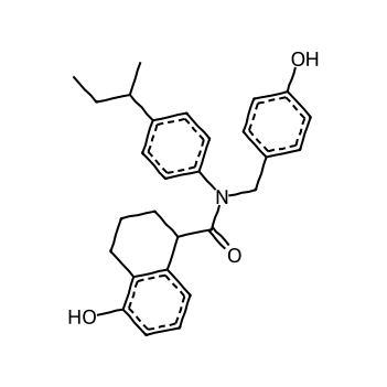 CCC(C)c1ccc(N(Cc2ccc(O)cc2)C(=O)C2CCCc3c(O)cccc32)cc1